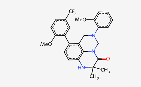 COc1ccc(C(F)(F)F)cc1-c1ccc2c3c1CN(c1ccccc1OC)CN3C(=O)C(C)(C)N2